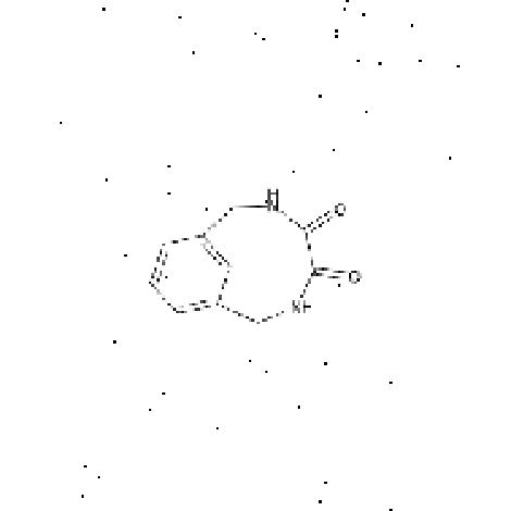 O=C1NCc2cccc(c2)CNC1=O